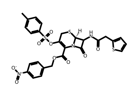 Cc1ccc(S(=O)(=O)OC2=C(C(=O)OCc3ccc([N+](=O)[O-])cc3)N3C(=O)C(NC(=O)Cc4cccs4)[C@@H]3SC2)cc1